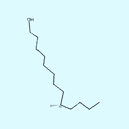 CCCC[C@H](C)CCCCCCCCO